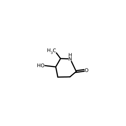 CC1NC(=O)CCC1O